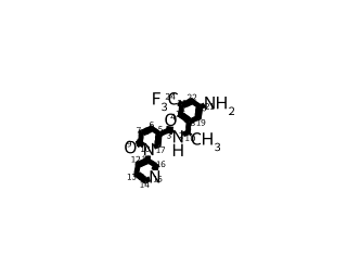 C[C@@H](NC(=O)c1ccc(=O)n(-c2cccnc2)c1)c1cc(N)cc(C(F)(F)F)c1